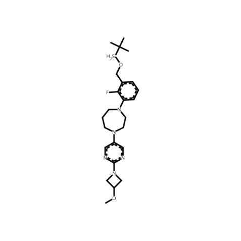 COC1CN(c2ncc(N3CCCN(c4cccc(CO[SiH2]C(C)(C)C)c4F)CC3)cn2)C1